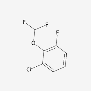 Fc1cccc(Cl)c1OC(F)F